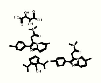 CC(C)c1cccc(C(C)C)c1O.Cc1ccc(-c2nc3ccc(C)cn3c2CC(=O)N(C)C)cc1.Cc1ccc(-c2nc3ccc(C)cn3c2CC(=O)N(C)C)cc1.O=C(O)C(O)C(O)C(=O)O